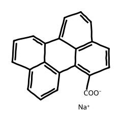 O=C([O-])c1ccc2cccc3c4cccc5cccc(c1c23)c54.[Na+]